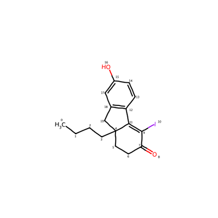 CCCCC12CCC(=O)C(I)=C1c1ccc(O)cc1C2